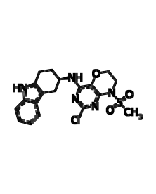 CS(=O)(=O)N1CCOc2c(N[C@@H]3CCc4[nH]c5ccccc5c4C3)nc(Cl)nc21